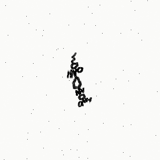 CCCCc1ccc(C(=O)Nc2ccc(N=Nc3ccc(NC(C)=O)cc3)cc2)cc1